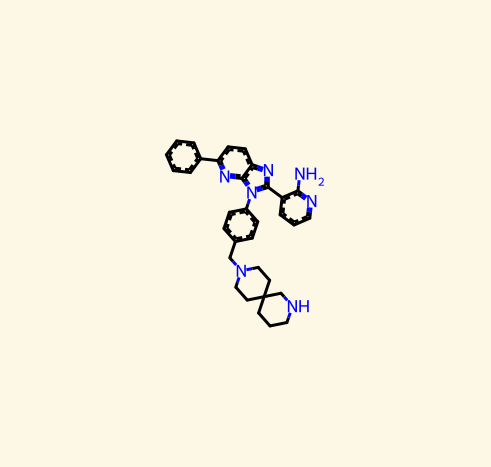 Nc1ncccc1-c1nc2ccc(-c3ccccc3)nc2n1-c1ccc(CN2CCC3(CCCNC3)CC2)cc1